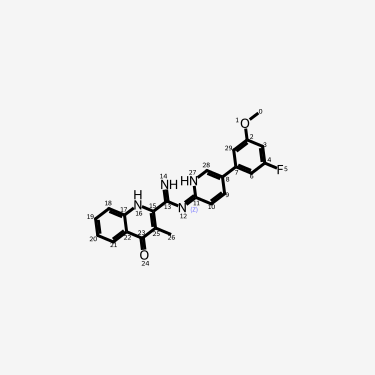 COc1cc(F)cc(-c2cc/c(=N/C(=N)c3[nH]c4ccccc4c(=O)c3C)[nH]c2)c1